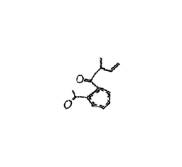 C=CC(C)C(=O)c1ccccc1C(C)=O